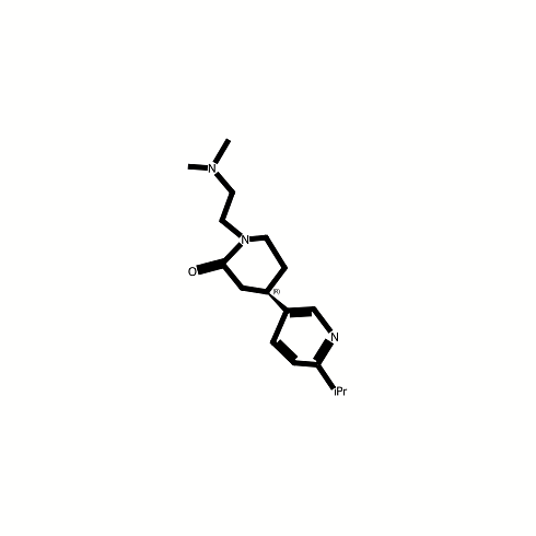 CC(C)c1ccc([C@@H]2CCN(CCN(C)C)C(=O)C2)cn1